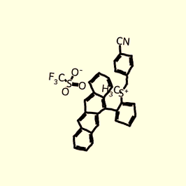 C[S+](Cc1ccc(C#N)cc1)c1ccccc1-c1c2ccccc2cc2cc3ccccc3cc12.O=S(=O)([O-])C(F)(F)F